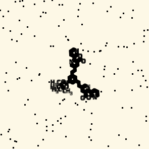 CC1(C)OB(c2cc(CCc3cnc4c(c3)c(=O)oc3ncccc34)cc(CCc3cnc4c(c3)c(=O)oc3ncccc34)c2)OC1(C)C